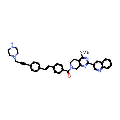 CNc1nc(-c2cnc3ccccc3c2)nc2c1CCN(C(=O)c1ccc(/C=C/c3ccc(C#CCN4CCNCC4)cc3)cc1)C2